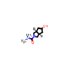 CN(C)C(=O)N1C[C@H]2CC(O)C[C@H]2C1